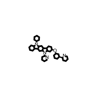 c1ccc(-n2c3ccccc3c3cc4c(cc32)c2ccc(Oc3cccc(-c5ccccn5)c3)cc2n4-c2ccccn2)cc1